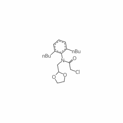 CCCCc1cccc(CCCC)c1N(CC1OCCO1)C(=O)CCl